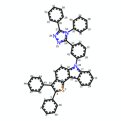 c1ccc(-c2sc3c(ccc4c3c3ccccc3n4-c3cccc(-c4nnc(-c5ccccc5)n4-c4ccccc4)c3)c2-c2ccccc2)cc1